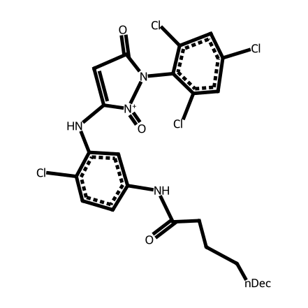 CCCCCCCCCCCCCC(=O)Nc1ccc(Cl)c(NC2=CC(=O)N(c3c(Cl)cc(Cl)cc3Cl)[N+]2=O)c1